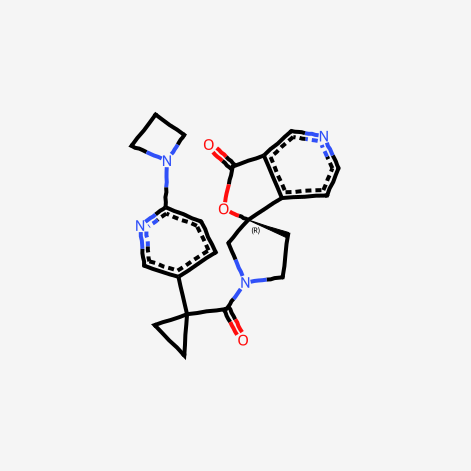 O=C1O[C@]2(CCN(C(=O)C3(c4ccc(N5CCC5)nc4)CC3)C2)c2ccncc21